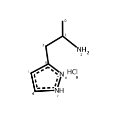 CC(N)Cc1cc[nH]n1.Cl